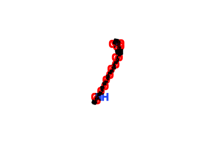 CC(C)(C)OC(=O)NCCOCCOCCOCCOCCOCCOCCC(=O)Oc1ccc(C(=O)ON2C(=O)CCC2=O)cc1